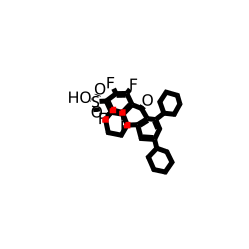 O=C(c1c(C2CCCCC2)cc(C2CCCCC2)cc1C1CCCCC1)c1c(F)c(F)c(S(=O)(=O)O)c(F)c1F